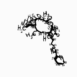 B[C@@H]1[C@@H](C)C(=O)[C@@H](C)C(=O)O[C@H](CC)[C@@]2(C)OC(=O)N(CCCCn3cc(-c4ccccn4)nn3)[C@@H]2[C@@H](C)NC[C@H](C)C[C@@]1(CC=C)OC